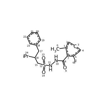 Cc1cccc(F)c1C(=O)NNS(=O)(=O)CC(Cc1ccccc1)C(C)C